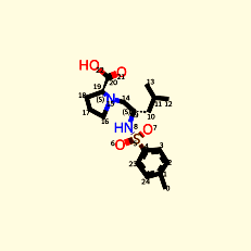 Cc1ccc(S(=O)(=O)N[C@@H](CC(C)C)CN2CCC[C@H]2C(=O)O)cc1